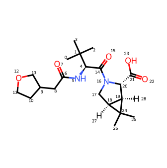 CC(C)(C)[C@H](NC(=O)CC1CCOC1)C(=O)N1C[C@H]2[C@@H]([C@H]1C(=O)O)C2(C)C